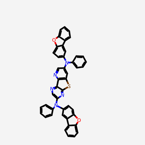 c1ccc(N(c2cnc3c(c2)sc2nc(N(c4ccccc4)c4ccc5oc6ccccc6c5c4)cnc23)c2ccc3oc4ccccc4c3c2)cc1